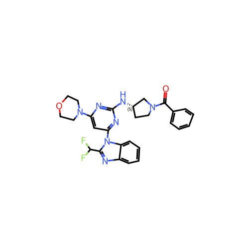 O=C(c1ccccc1)N1CC[C@H](Nc2nc(N3CCOCC3)cc(-n3c(C(F)F)nc4ccccc43)n2)C1